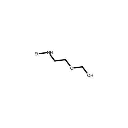 CCNCCOCO